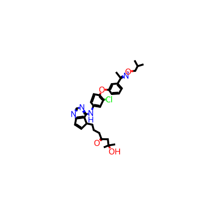 C/C(=N\OCC(C)C)c1cccc(Oc2ccc(Nc3ncnc4c3C(CCCC(=O)CC(C)(C)O)C=C4)cc2Cl)c1